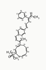 C=C(/C=C\c1ccc(/C=C/C=C(/PC)c2ccccc2)cc1)/C1=C/C=C(/P(C)(C)=O)C/C=C\C=C/C1